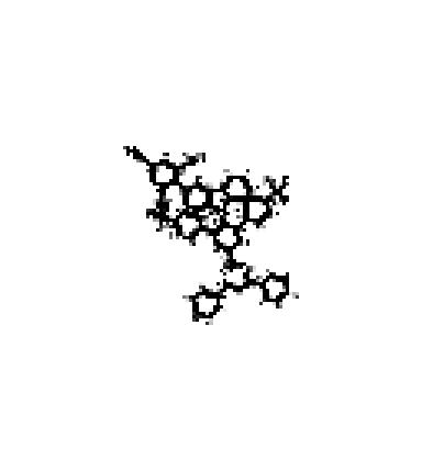 N#Cc1cc(C#N)c(-c2ccc3c(c2)c2ccccc2n3-c2c(-c3ccc(C(F)(F)F)cc3)cc(-c3nc(-c4ccccc4)cc(-c4ccccc4)n3)cc2-c2ccc(C(F)(F)F)cc2)c(C#N)c1